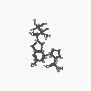 C[C@@](O)(C(=O)N1Cc2cc(Cl)cc([C@@H]3CCCN3C(=O)O)c2C1)C(F)(F)F